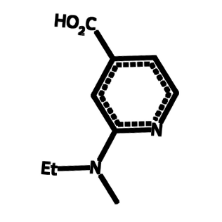 CCN(C)c1cc(C(=O)O)ccn1